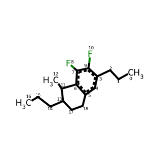 CCCc1cc2c(c(F)c1F)C(C)C(CCC)CC2